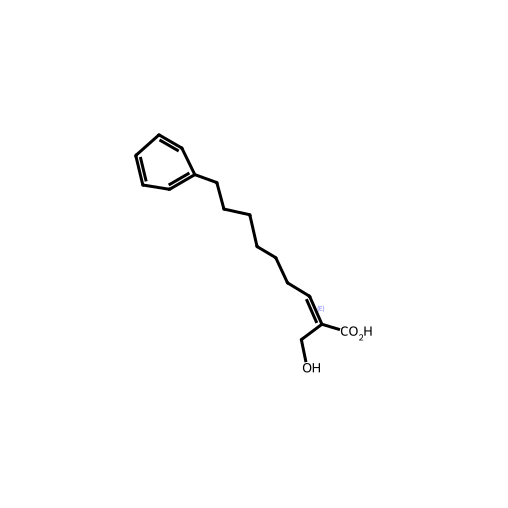 O=C(O)/C(=C/CCCCCCc1ccccc1)CO